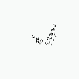 O.O.O.[AlH3].[AlH3].[Al].[Al].[Ti]